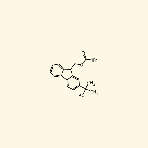 CC(=O)C(C)(C)c1ccc2c(c1)C(COC(=O)C(C)C)c1ccccc1-2